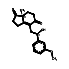 COc1cccc([C@H](O)CC2=C3CCC(=O)[C@@]3(C)CCC2=O)c1